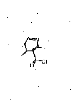 CC1=C(C(=O)O)C(C)CC=N1